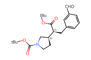 CC(C)(C)OC(=O)[C@@H](Cc1cccc(C=O)c1)[C@H]1CCN(C(=O)OC(C)(C)C)C1